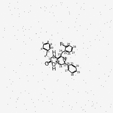 O=C(O)[C@H](Cc1ccccc1)Nc1ncc(-c2ccccc2)nc1Cc1ccccc1F